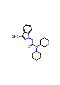 O=Cc1cn(CC(=O)N(C2CCCCC2)C2CCCCC2)c2ccccc12